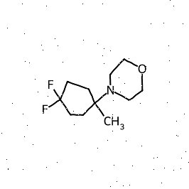 CC1(N2CCOCC2)CCC(F)(F)CC1